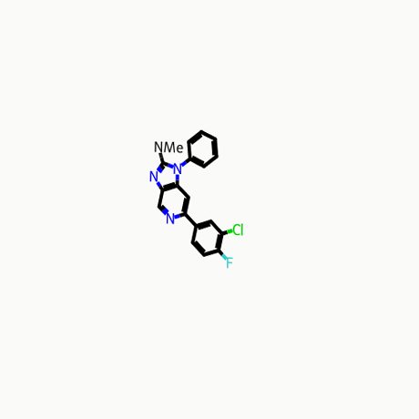 CNc1nc2cnc(-c3ccc(F)c(Cl)c3)cc2n1-c1ccccc1